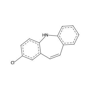 Clc1ccc2c(c1)C=Cc1ccccc1N2